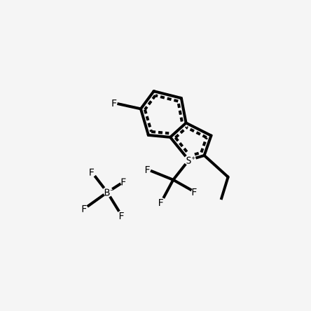 CCc1cc2ccc(F)cc2[s+]1C(F)(F)F.F[B-](F)(F)F